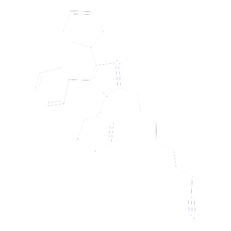 N#CCCCCCCOc1nc(-c2ccccc2)c(-c2ccccc2)n1-c1ccccc1